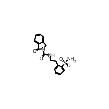 NS(=O)(=O)c1ccccc1CCNC(=O)N1Cc2ccccc2C1=O